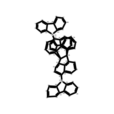 c1ccc2c(c1)-c1ccccc1C13c4ccc(-n5c6ccccc6c6ccccc65)c5cccc(c45)C21c1cccc2c(-n4c5ccccc5c5ccccc54)ccc3c12